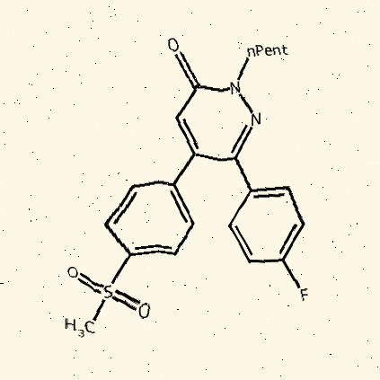 CCCCCn1nc(-c2ccc(F)cc2)c(-c2ccc(S(C)(=O)=O)cc2)cc1=O